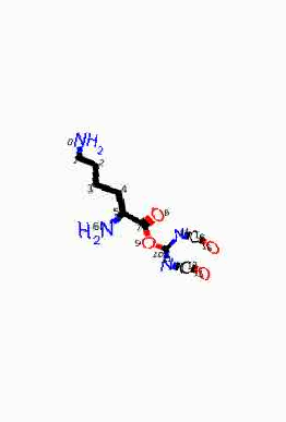 NCCCCC(N)C(=O)OC(N=C=O)N=C=O